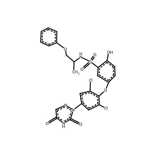 CC(COc1ccccc1)NS(=O)(=O)c1cc(Oc2c(Cl)cc(-n3ncc(=O)[nH]c3=O)cc2Cl)ccc1O